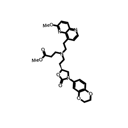 COC(=O)CCN(CCc1ccnc2ccc(OC)nc12)CC[C@H]1CN(c2ccc3c(c2)OCCO3)C(=O)O1